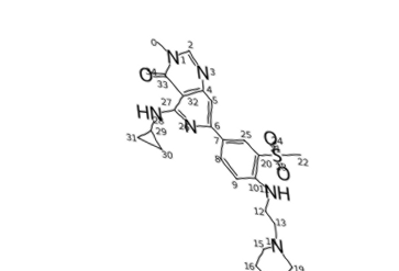 Cn1cnc2cc(-c3ccc(NCCN4CCOCC4)c(S(C)(=O)=O)c3)nc(NC3CC3)c2c1=O